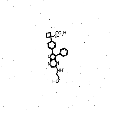 O=C(O)NC1(c2ccc(-c3oc4ncc(NCCO)nc4c3-c3ccccc3)cc2)CCC1